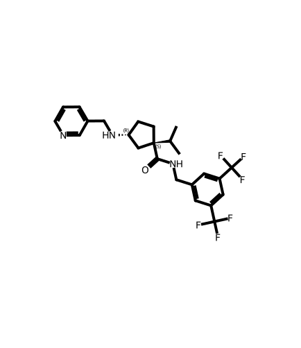 CC(C)[C@]1(C(=O)NCc2cc(C(F)(F)F)cc(C(F)(F)F)c2)CC[C@@H](NCc2cccnc2)C1